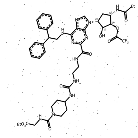 CCOC(=O)CNC(=O)N1CCC(NC(=O)NCCNC(=O)c2nc(NCC(c3ccccc3)c3ccccc3)c3ncn([C@@H]4C[C@H](NC(=O)CC)[C@@H](OC(=O)C(F)(F)F)[C@H]4O)c3n2)CC1